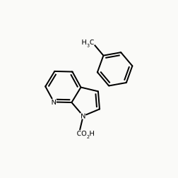 Cc1ccccc1.O=C(O)n1ccc2cccnc21